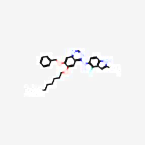 CCOC(=O)CCCCCCOc1cc2c(Nc3ccc4[nH]c(C)cc4c3F)ncnc2cc1OCc1ccccc1